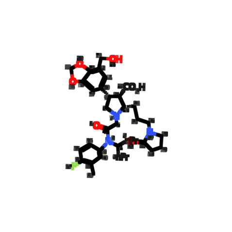 CCCC(CCC)N(C(=O)CN1C[C@H](c2cc(CO)c3c(c2)OCO3)[C@@H](C(=O)O)[C@@H]1CCCN1CCCC1=O)c1ccc(F)c(C)c1